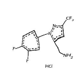 Cl.NCc1cc(C(F)(F)F)nn1-c1ccc(F)c(F)c1